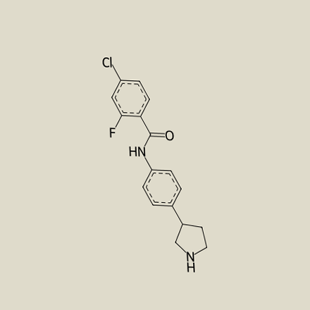 O=C(Nc1ccc(C2CCNC2)cc1)c1ccc(Cl)cc1F